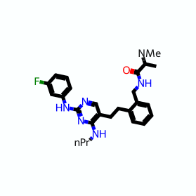 CCCNc1nc(Nc2cccc(F)c2)ncc1CCc1ccccc1CNC(=O)C(C)NC